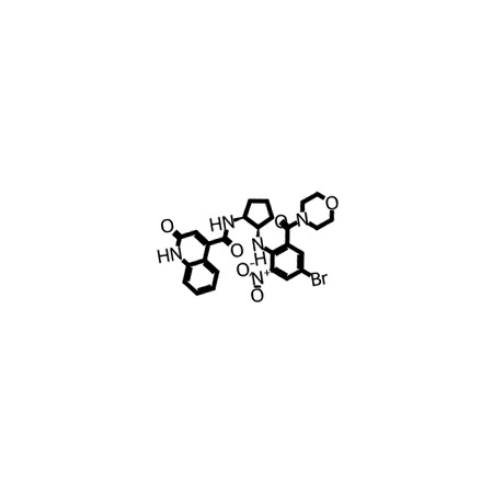 O=C(N[C@H]1CCC[C@H]1Nc1c(C(=O)N2CCOCC2)cc(Br)cc1[N+](=O)[O-])c1cc(=O)[nH]c2ccccc12